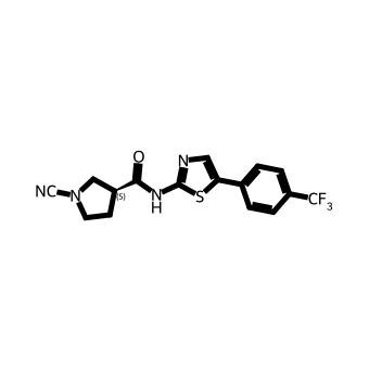 N#CN1CC[C@H](C(=O)Nc2ncc(-c3ccc(C(F)(F)F)cc3)s2)C1